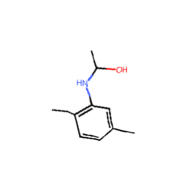 Cc1ccc(C)c(NC(C)O)c1